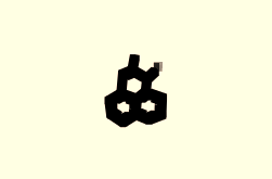 CC1=Cc2cccc3cccc(c23)C1F